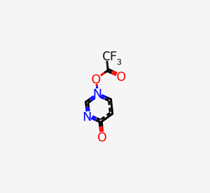 O=C(On1ccc(=O)nc1)C(F)(F)F